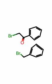 BrCc1ccccc1.O=C(CBr)c1ccccc1